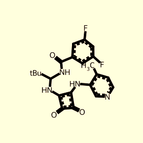 Cc1ccncc1Nc1c(NC(NC(=O)c2cc(F)cc(F)c2)C(C)(C)C)c(=O)c1=O